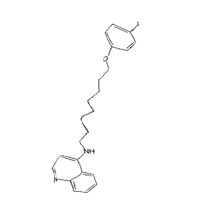 Ic1ccc(OCCCCCCCCNc2ccnc3ccccc23)cc1